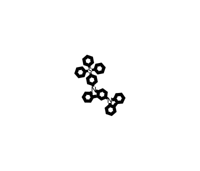 c1ccc(S(c2ccccc2)(c2ccccc2)c2ccc(-n3c4ccccc4c4cc(-n5c6ccccc6c6ccccc65)ccc43)cc2)cc1